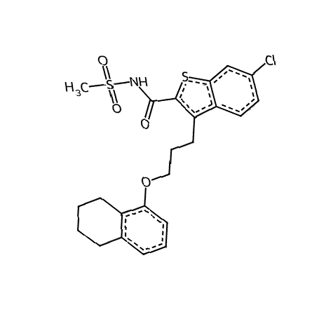 CS(=O)(=O)NC(=O)c1sc2cc(Cl)ccc2c1CCCOc1cccc2c1CCCC2